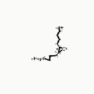 CCCCCCCCCC[C@@H]1O[C@@H]1CCCCC(C)C